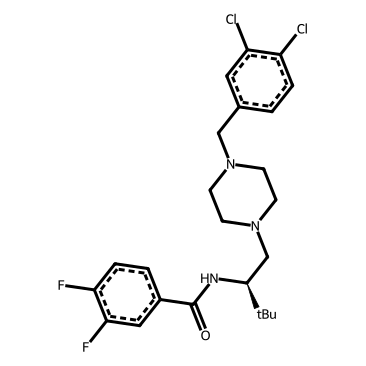 CC(C)(C)[C@H](CN1CCN(Cc2ccc(Cl)c(Cl)c2)CC1)NC(=O)c1ccc(F)c(F)c1